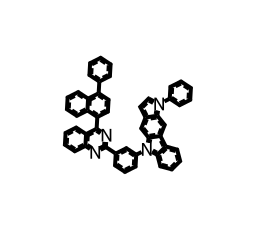 c1ccc(-c2ccc(-c3nc(-c4cccc(-n5c6ccccc6c6cc7c(ccn7-c7ccccc7)cc65)c4)nc4ccccc34)c3ccccc23)cc1